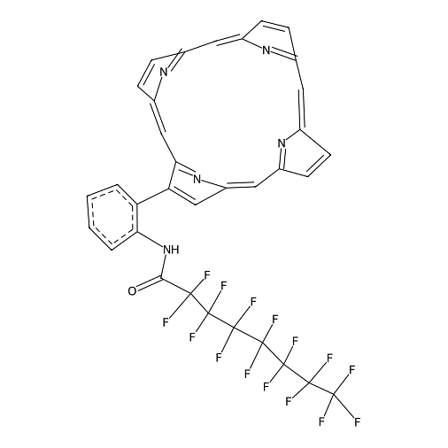 O=C(Nc1ccccc1C1=CC2=CC3=NC(=CC4=NC(=CC5=NC(=CC1=N2)C=C5)C=C4)C=C3)C(F)(F)C(F)(F)C(F)(F)C(F)(F)C(F)(F)C(F)(F)C(F)(F)F